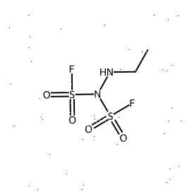 CCNN(S(=O)(=O)F)S(=O)(=O)F